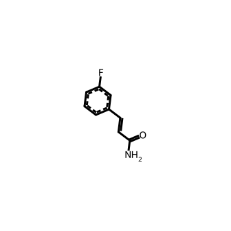 NC(=O)/C=C/c1cccc(F)c1